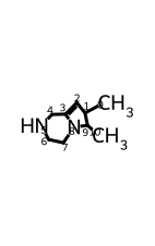 CC1C=C2CNCCN2C1C